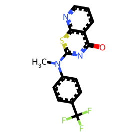 CN(c1ccc(C(F)(F)F)cc1)c1nc(=O)c2cccnc2s1